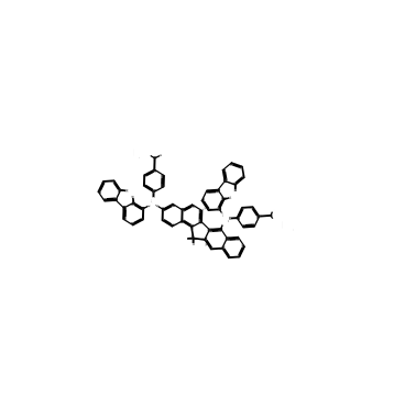 CC(C)c1ccc(N(c2ccc3c4c(ccc3c2)-c2c(cc3ccccc3c2N(c2ccc(C(C)C)cc2)c2cccc3c2oc2ccccc23)C4(C)C)c2cccc3c2oc2ccccc23)cc1